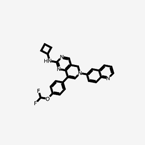 FC(F)Oc1ccc(C2=CN(c3ccc4ncccc4c3)Cc3cnc(NC4CCC4)nc32)cc1